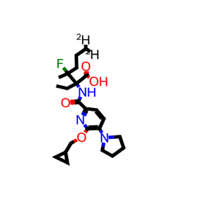 [2H]C([2H])CCC(C)(F)C(CC)(NC(=O)c1ccc(N2CCCC2)c(OCC2CC2)n1)C(=O)O